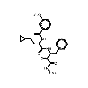 CONC(=O)C(=O)[C@H](Cc1ccccc1)NC(=O)[C@H](CCC1CC1)NC(=O)c1cccc(OC)c1